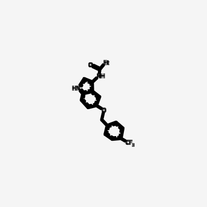 CCC(=O)Nc1c[nH]c2ccc(OCc3ccc(C(F)(F)F)cc3)cc12